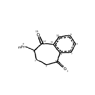 CCCC1CCC(=O)c2ccccc2C1=O